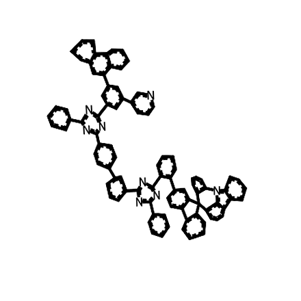 c1ccc(-c2nc(-c3ccc(-c4cccc(-c5nc(-c6ccccc6)nc(-c6ccccc6-c6ccc7c(c6)C6(c8ccccc8-7)c7ccccc7-n7c8ccccc8c8cccc6c87)n5)c4)cc3)nc(-c3cc(-c4cccnc4)cc(-c4cc5ccccc5c5ccccc45)c3)n2)cc1